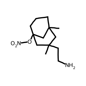 CC1(CCN)CC2(C)CCCC(O[N+](=O)[O-])(C1)C2